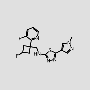 Cn1cc(-c2nnc(NCC3(c4ncccc4F)CC(F)C3)s2)cn1